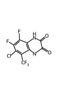 O=C1[N]c2c(c(F)c(F)c(Cl)c2C(F)(F)F)NC1=O